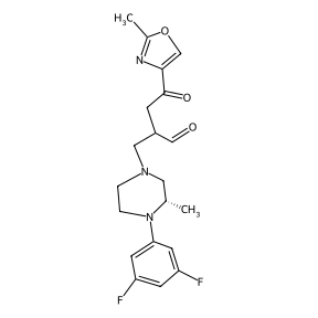 Cc1nc(C(=O)CC(C=O)CN2CCN(c3cc(F)cc(F)c3)[C@@H](C)C2)co1